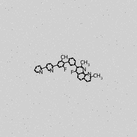 Cc1ccc2ccc3c(F)c(-c4cccc(-c5c(C)cc(-c6ccc(-c7ccccn7)cn6)cc5F)c4)c(C)nc3c2n1